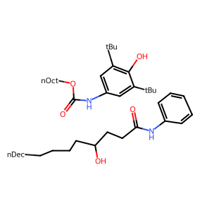 CCCCCCCCCCCCCCC(O)CCC(=O)Nc1ccccc1.CCCCCCCCOC(=O)Nc1cc(C(C)(C)C)c(O)c(C(C)(C)C)c1